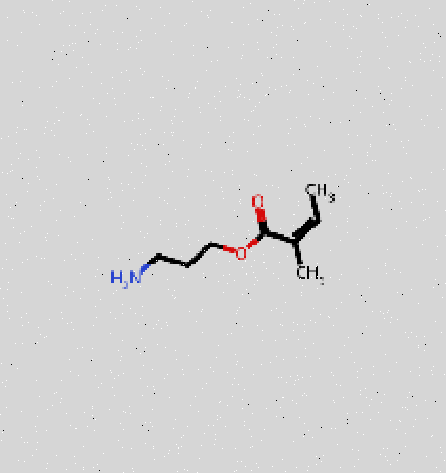 CC=C(C)C(=O)OCCCN